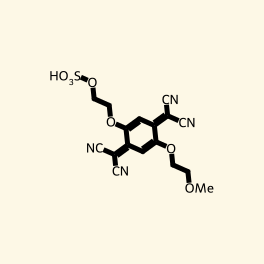 COCCOc1cc(=C(C#N)C#N)c(OCCOS(=O)(=O)O)cc1=C(C#N)C#N